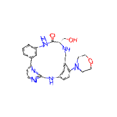 O=C1Nc2cccc(c2)-c2ccnc(n2)Nc2ccc(N3CCOCC3)c(c2)CN[C@H]1CO